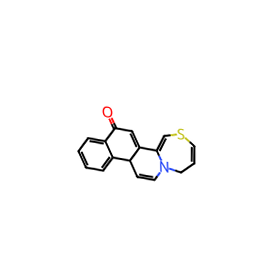 O=C1C=C2C3=CSC=CCN3C=CC2c2ccccc21